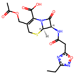 CCc1noc(CC(=O)N[C@@H]2C(=O)N3C(C(=O)O)=C(COC(C)=O)CS[C@H]23)n1